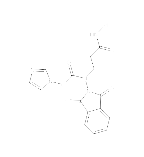 O=C(CCN(C(=O)On1ccnc1)N1C(=O)c2ccccc2C1=O)NP